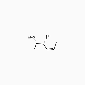 C/C=C\[C@@H](O)[C@H](C)OC